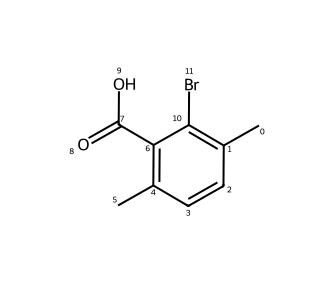 Cc1ccc(C)c(C(=O)O)c1Br